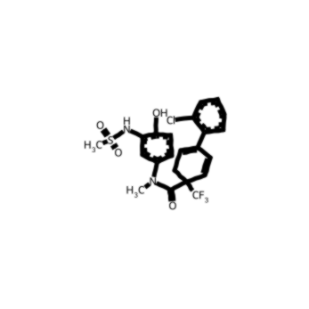 CN(C(=O)C1(C(F)(F)F)C=CC(c2ccccc2Cl)=CC1)c1ccc(O)c(NS(C)(=O)=O)c1